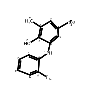 Cc1cc(C(C)(C)C)cc(Pc2ccccc2F)c1O